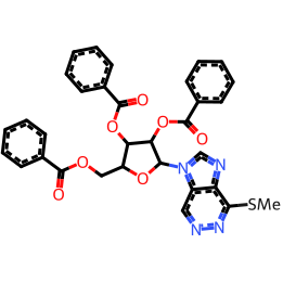 CSc1nncc2c1ncn2C1OC(COC(=O)c2ccccc2)C(OC(=O)c2ccccc2)C1OC(=O)c1ccccc1